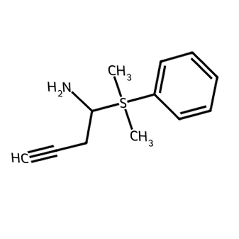 C#CCC(N)S(C)(C)c1ccccc1